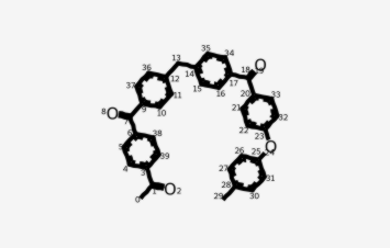 CC(=O)c1ccc(C(=O)c2ccc(Cc3ccc(C(=O)c4ccc(Oc5ccc(C)cc5)cc4)cc3)cc2)cc1